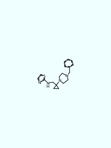 c1ccc(CN2CCN(C3(CNc4nccs4)CC3)CC2)cc1